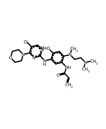 C=CC(=O)Nc1cc(Nc2ncc(Cl)c(N3CCOCC3)n2)c(OC)cc1N(C)CCN(C)C